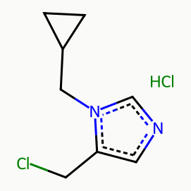 Cl.ClCc1cncn1CC1CC1